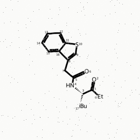 CCC(=O)[C@@H](NC(=O)Cc1csc2ccccc12)[C@@H](C)CC